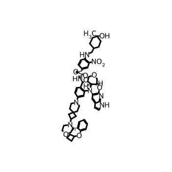 CC1(O)CCC(CNc2ccc(S(=O)(=O)NC(=O)c3ccc(N4CCC5(CC4)CC(N4CCOC[C@H]4c4ccccc4OC4CCC4)C5)cc3N3c4cc5cc[nH]c5nc4O[C@H]4COCC[C@@H]43)cc2[N+](=O)[O-])CC1